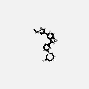 CCn1cc(-c2cc3c(-c4cccc(N5CCNCC(F)C5)n4)n[nH]c3cn2)cn1